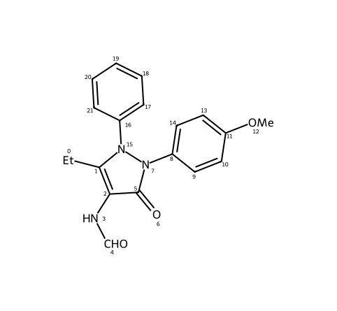 CCc1c(NC=O)c(=O)n(-c2ccc(OC)cc2)n1-c1ccccc1